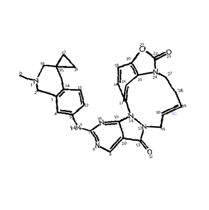 CN1Cc2cc(Nc3ncc4c(=O)n5n(c4n3)-c3ccc4oc(=O)n(c4c3)CC/C=C/C5)ccc2C2(CC2)C1